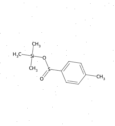 Cc1ccc(S(=O)O[Si](C)(C)C)cc1